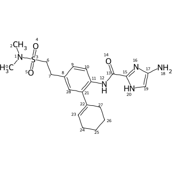 CN(C)S(=O)(=O)CCc1ccc(NC(=O)c2nc(N)c[nH]2)c(C2=CCCCC2)c1